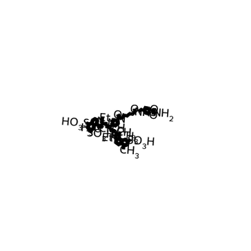 CCN1/C(=C/C=C(/C=C/C2=[N+](CC)c3ccc4c(C)cc(S(=O)(=O)O)cc4c3C2(C)C)c2ccc(C(=O)NCCCCC(=O)NCc3ccc(S(N)(=O)=O)cc3)cn2)C(C)(C)c2c1ccc1c(S(=O)(=O)O)cc(S(=O)(=O)O)cc21